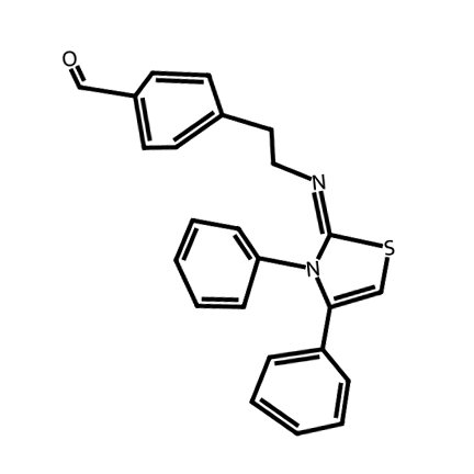 O=Cc1ccc(CCN=c2scc(-c3ccccc3)n2-c2ccccc2)cc1